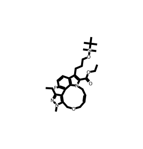 CCOC(=O)c1c(CCCO[Si](C)(C)C(C)(C)C)c2ccc(F)c3c2n1C/C=C\COCc1c-3c(CC)nn1C